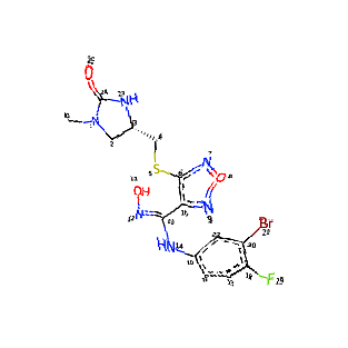 CN1C[C@@H](CSc2nonc2/C(=N\O)Nc2ccc(F)c(Br)c2)NC1=O